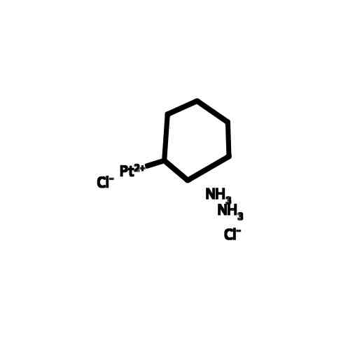 N.N.[Cl-].[Cl-].[Pt+2][CH]1CCCCC1